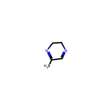 BC1=NCCN=C1